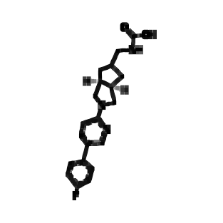 O=C(O)NCC1C[C@@H]2CN(c3ccc(-c4ccc(F)cc4)cn3)C[C@@H]2C1